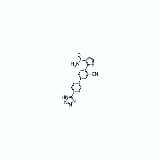 N#Cc1cc(-c2ccc(-c3nnn[nH]3)cc2)ccc1-c1sccc1C(N)=O